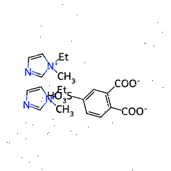 CC[N+]1(C)C=CN=C1.CC[N+]1(C)C=CN=C1.O=C([O-])c1ccc(S(=O)(=O)O)cc1C(=O)[O-]